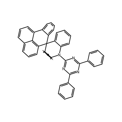 c1ccc(-c2nc(-c3ccccc3)nc(N3c4ccccc4C4(c5ccccc5-c5cccc6cccc4c56)c4ccccc43)n2)cc1